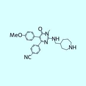 COc1ccc(-c2c(-c3ccc(C#N)cc3)nc(NCC3CCCNCC3)n(C)c2=O)cc1